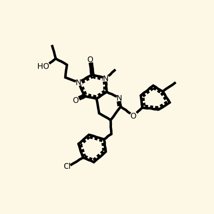 Cc1ccc(OC2=Nc3c(c(=O)n(CCC(C)O)c(=O)n3C)CC2Cc2ccc(Cl)cc2)cc1